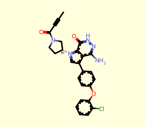 CC#CC(=O)N1CC[C@@H](n2cc(-c3ccc(Oc4ccccc4Cl)cc3)c3c(N)n[nH]c(=O)c32)C1